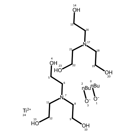 CCCC[O-].CCCC[O-].OCCN(CCO)CCO.OCCN(CCO)CCO.[Ti+2]